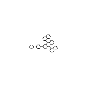 [c]1ccccc1-c1ccc(-c2ccc3c(-c4cccc5ccccc45)c4ccccc4c(-c4cccc5ccccc45)c3c2)cc1